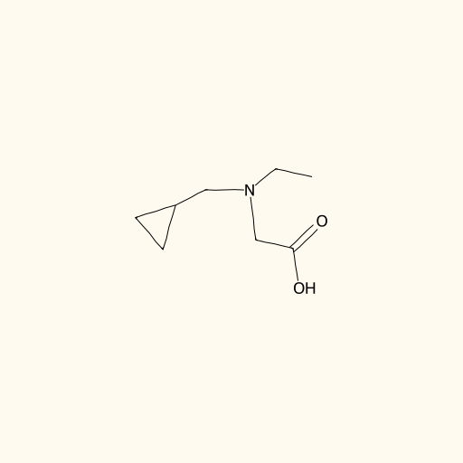 CCN(CC(=O)O)CC1CC1